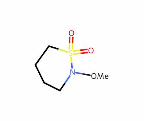 CON1CCCCS1(=O)=O